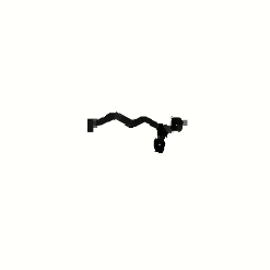 O=[N+]([O-])CCCF